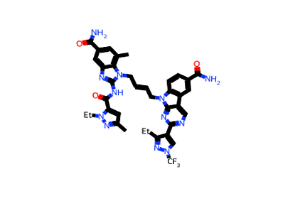 CCc1nn(C(F)(F)F)cc1-c1ncc2c3cc(C(N)=O)ccc3n(C/C=C/Cn3c(NC(=O)c4cc(C)nn4CC)nc4cc(C(N)=O)cc(C)c43)c2n1